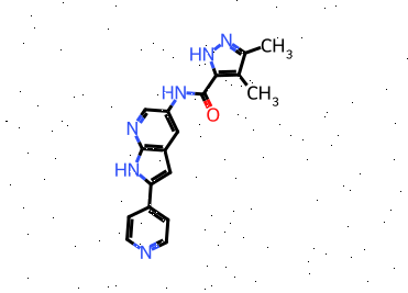 Cc1n[nH]c(C(=O)Nc2cnc3[nH]c(-c4ccncc4)cc3c2)c1C